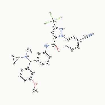 COc1cccc(C(c2cccc(NC(=O)c3cc(C(F)(F)F)nn3-c3cccc(C#N)c3)c2)N(C)C2CC2)c1